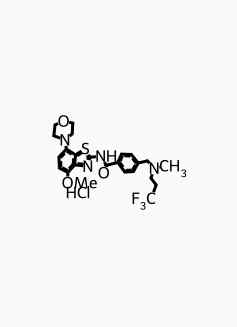 COc1ccc(N2CCOCC2)c2sc(NC(=O)c3ccc(CN(C)CCC(F)(F)F)cc3)nc12.Cl